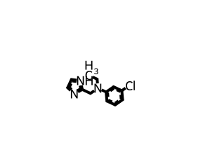 CCN(Cc1ncc[nH]1)c1cccc(Cl)c1